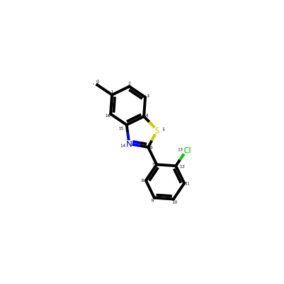 [CH2]c1ccc2sc(-c3ccccc3Cl)nc2c1